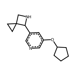 c1ncc(C2NCC23CC3)cc1OC1CCCC1